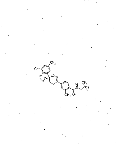 Cc1cc(C2=NO[C@](c3cc(C(F)(F)F)cc(Cl)c3F)(C(F)(F)F)CC2)ccc1C(=O)NCC1(C(F)(F)F)CC1